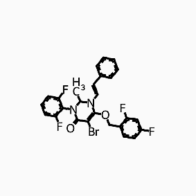 CC1N(/C=C/c2ccccc2)C(OCc2ccc(F)cc2F)=C(Br)C(=O)N1c1c(F)cccc1F